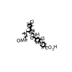 COCCN(C)Cc1sc(NC(=O)c2cnc(N3CCC(C(=O)O)CC3)c(Cl)c2)nc1-c1cc(Cl)cs1